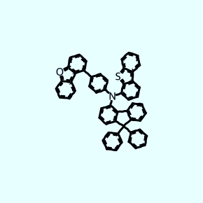 c1ccc(C2(c3ccccc3)c3ccccc3-c3c(N(c4ccc(-c5cccc6oc7ccccc7c56)cc4)c4cccc5c4sc4ccccc45)cccc32)cc1